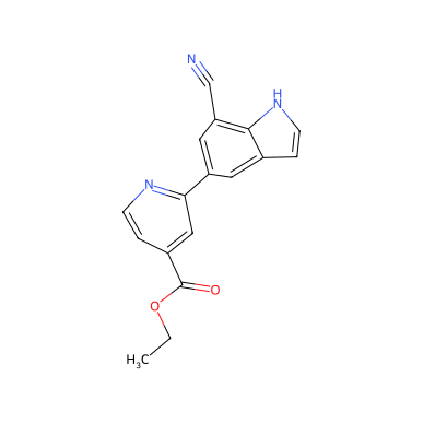 CCOC(=O)c1ccnc(-c2cc(C#N)c3[nH]ccc3c2)c1